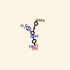 COc1ccc(C#Cc2cc3[nH]c(-c4ccc(C(=O)NO)cc4)nc3cc2N2CCN(C)CC2)cc1